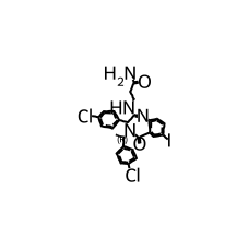 C[C@H](c1ccc(Cl)cc1)N1C(=O)c2cc(I)ccc2N=C(NCCC(N)=O)C1c1ccc(Cl)cc1